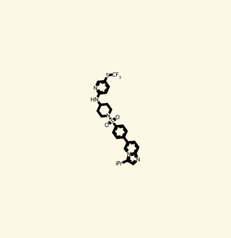 CC(C)c1cnc2ccc(-c3ccc(S(=O)(=O)N4CCC(Nc5ccc(SC(F)(F)F)cn5)CC4)cc3)cn12